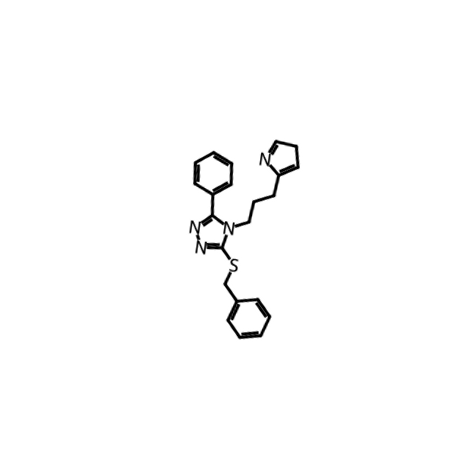 C1=NC(CCCn2c(SCc3ccccc3)nnc2-c2ccccc2)=CC1